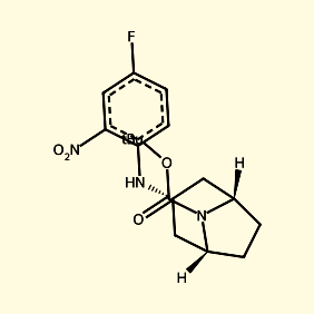 CC(C)(C)OC(=O)N1[C@@H]2CC[C@H]1C[C@@H](Nc1ccc(F)cc1[N+](=O)[O-])C2